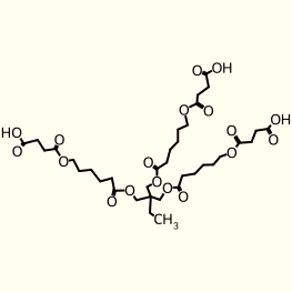 CCC(COC(=O)CCCCCOC(=O)CCC(=O)O)(COC(=O)CCCCCOC(=O)CCC(=O)O)COC(=O)CCCCCOC(=O)CCC(=O)O